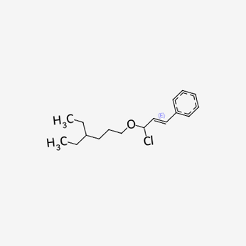 CCC(CC)CCCOC(Cl)/C=C/c1ccccc1